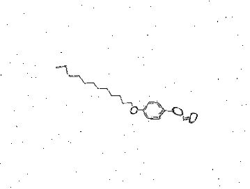 CCCCCCCCCCCCOc1ccc(OC=O)cc1